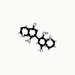 Oc1c(-c2cc(Cl)c3cccnc3c2O)cc(Cl)c2cccnc12